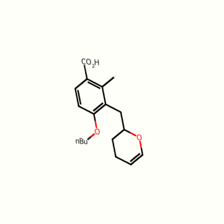 CCCCOc1ccc(C(=O)O)c(C)c1CC1CCC=CO1